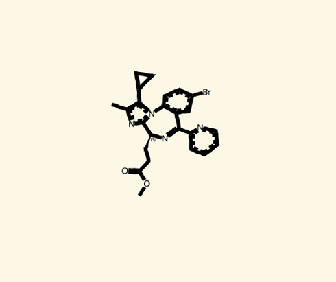 COC(=O)CC[C@@H]1N=C(c2ccccn2)c2cc(Br)ccc2-n2c1nc(C)c2C1CC1